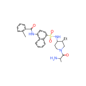 CCC1CN(C(=O)C(C)N)CCC1NS(=O)(=O)c1ccc(NC(=O)c2ccccc2C)c2ccccc12